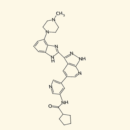 CN1CCN(c2cccc3[nH]c(-c4n[nH]c5ncc(-c6cncc(NC(=O)C7CCCC7)c6)cc45)nc23)CC1